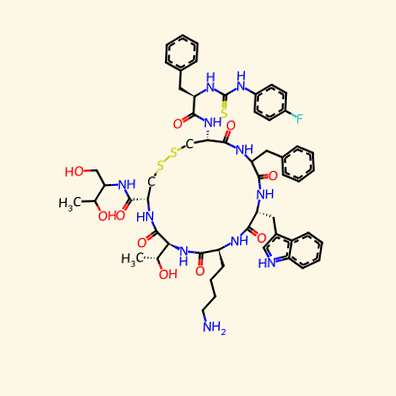 CC(O)C(CO)NC(=O)[C@@H]1CSSC[C@H](NC(=O)[C@@H](Cc2ccccc2)NC(=S)Nc2ccc(F)cc2)C(=O)NC(Cc2ccccc2)C(=O)N[C@H](Cc2c[nH]c3ccccc23)C(=O)N[C@@H](CCCCN)C(=O)N[C@@H]([C@@H](C)O)C(=O)N1